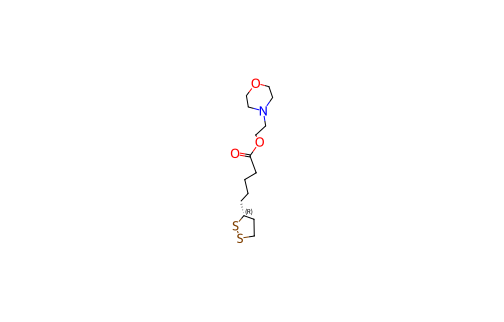 O=C(CCCC[C@@H]1CCSS1)OCCN1CCOCC1